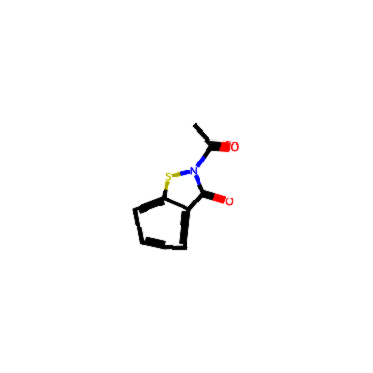 CC(=O)n1sc2ccccc2c1=O